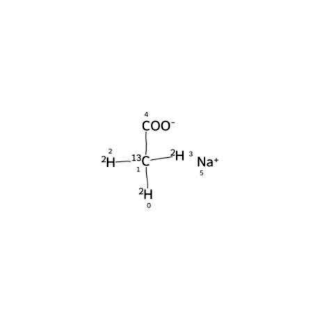 [2H][13C]([2H])([2H])[13C](=O)[O-].[Na+]